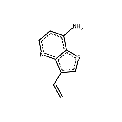 C=Cc1csc2c(N)ccnc12